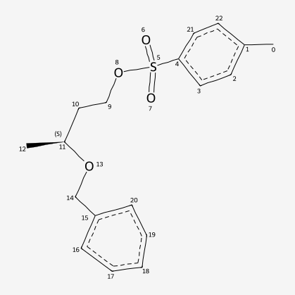 Cc1ccc(S(=O)(=O)OCC[C@H](C)OCc2ccccc2)cc1